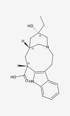 CC[C@]1(O)C[C@@H]2CN(CCc3c([nH]c4ccccc34)[C@](I)(C(=O)O)C2)C1